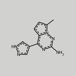 Cc1ccc2c(-c3cn[nH]c3)nc(N)nn12